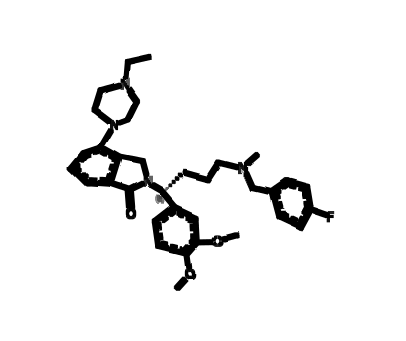 CCN1CCN(c2cccc3c2CN([C@H](CCCN(C)Cc2ccc(F)cc2)c2ccc(OC)c(OC)c2)C3=O)CC1